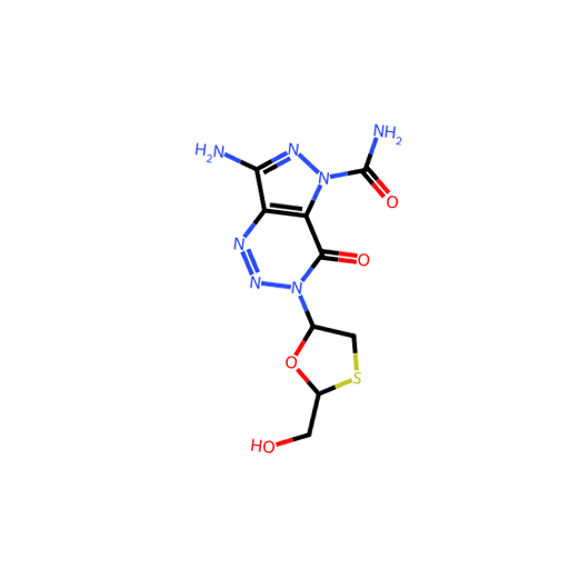 NC(=O)n1nc(N)c2nnn(C3CSC(CO)O3)c(=O)c21